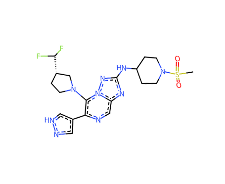 CS(=O)(=O)N1CCC(Nc2nc3cnc(-c4cn[nH]c4)c(N4CC[C@H](C(F)F)C4)n3n2)CC1